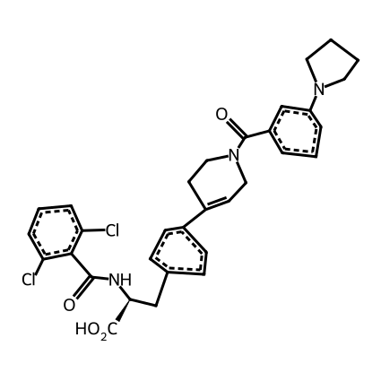 O=C(N[C@@H](Cc1ccc(C2=CCN(C(=O)c3cccc(N4CCCC4)c3)CC2)cc1)C(=O)O)c1c(Cl)cccc1Cl